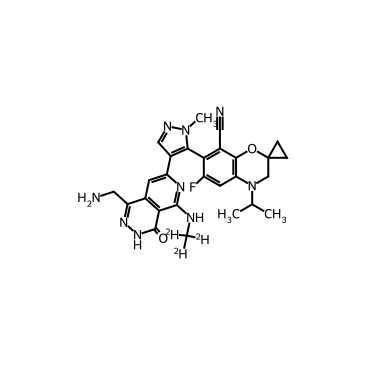 [2H]C([2H])([2H])Nc1nc(-c2cnn(C)c2-c2c(F)cc3c(c2C#N)OC2(CC2)CN3C(C)C)cc2c(CN)n[nH]c(=O)c12